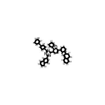 C1=C(c2cccc3c2sc2c4ccccc4ccc32)C2Oc3ccccc3C2C(c2nc(-c3ccc(-c4ccccc4)cc3)nc(-c3ccc4ccccc4c3)n2)=C1